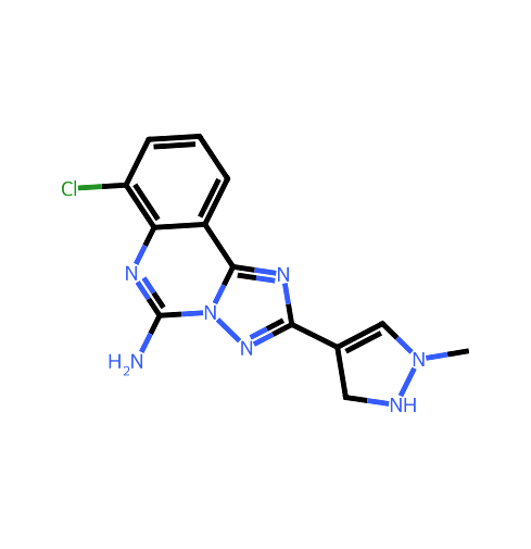 CN1C=C(c2nc3c4cccc(Cl)c4nc(N)n3n2)CN1